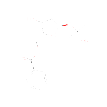 CC(C)(O)O[C@@H]1CC(O)[C@@H](COC(=O)c2ccccc2)O1